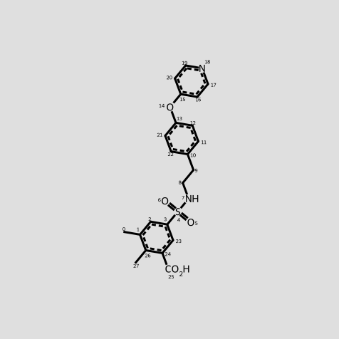 Cc1cc(S(=O)(=O)NCCc2ccc(Oc3ccncc3)cc2)cc(C(=O)O)c1C